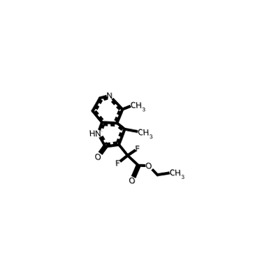 CCOC(=O)C(F)(F)c1c(C)c2c(C)nccc2[nH]c1=O